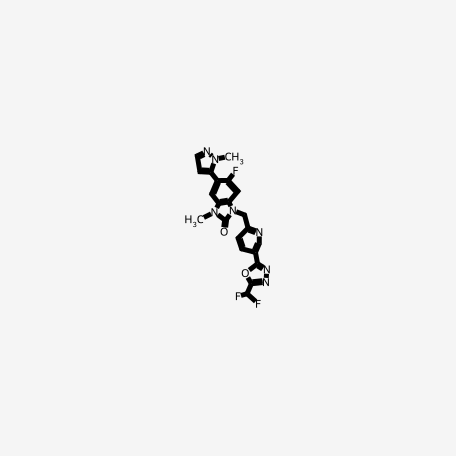 Cn1nccc1-c1cc2c(cc1F)n(Cc1ccc(-c3nnc(C(F)F)o3)cn1)c(=O)n2C